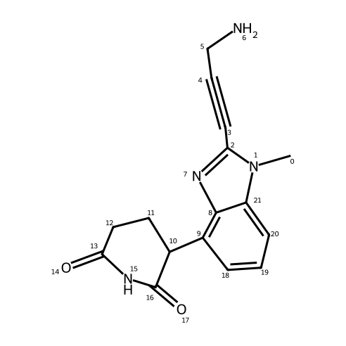 Cn1c(C#CCN)nc2c(C3CCC(=O)NC3=O)cccc21